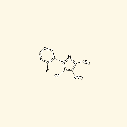 CC(C)(C)c1nn(-c2ccccc2F)c(Cl)c1C=O